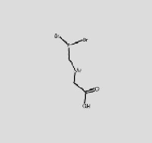 O=C(O)CNCP(Br)Br